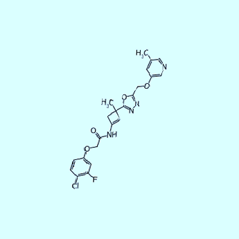 Cc1cncc(OCc2nnc(C3(C)C=C(NC(=O)COc4ccc(Cl)c(F)c4)C3)o2)c1